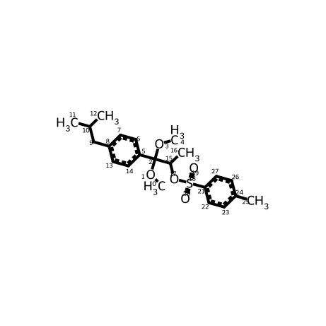 COC(OC)(c1ccc(CC(C)C)cc1)C(C)OS(=O)(=O)c1ccc(C)cc1